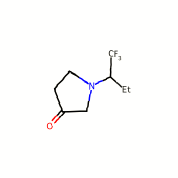 [CH2]CC(N1CCC(=O)C1)C(F)(F)F